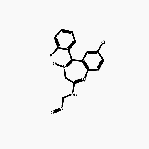 O=NCNC1=Nc2ccc(Cl)cc2C(c2ccccc2F)=[N+]([O-])C1